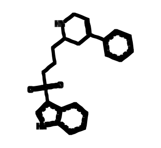 O=S(=O)(CCCC1CC(c2ccccc2)=CCN1)c1c[nH]c2ccccc12